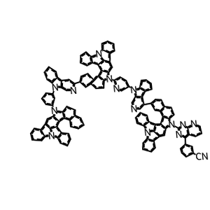 N#Cc1cccc(-c2nc(-n3c4ccc5ccc(-c6cncc7c6c6ccccc6n7-c6ccc(-n7c8ccc9cc(-c%10cc%11c%12ccccc%12n(-c%12cccc(-n%13c%14ccc%15ccccc%15c%14c%14c%15c%16ccccc%16n%16c%17ccccc%17c(cc%14%13)c%15%16)c%12)c%11cn%10)ccc9c8c8c9c%10ccccc%10n%10c%11ccccc%11c(cc87)c9%10)nc6)cc5c4c4c5c6ccccc6n6c7ccccc7c(cc43)c56)nc3ncccc23)c1